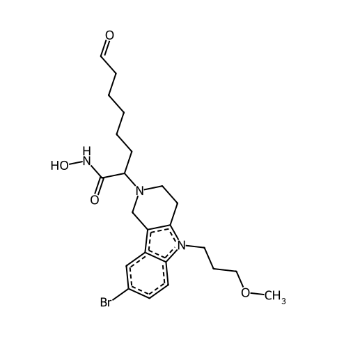 COCCCn1c2c(c3cc(Br)ccc31)CN(C(CCCCCC=O)C(=O)NO)CC2